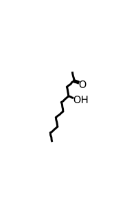 CCCCCCC(O)CC(C)=O